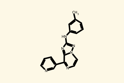 Cc1cccc(Nc2nc3c(-c4cccnc4)nccn3n2)c1